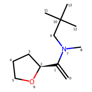 C=C([C@@H]1CCCO1)N(C)CC(C)(C)C